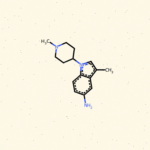 Cc1cn(C2CCN(C)CC2)c2ccc(N)cc12